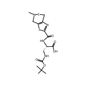 CN1CCc2nc(C(=O)N[C@@H](CNC(=O)OC(C)(C)C)C(=O)O)sc2C1